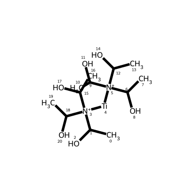 CC(O)[N+]([Ti][N+](C(C)O)(C(C)O)C(C)O)(C(C)O)C(C)O